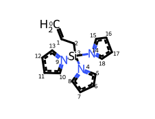 C=CC[Si](n1cccc1)(n1cccc1)n1cccc1